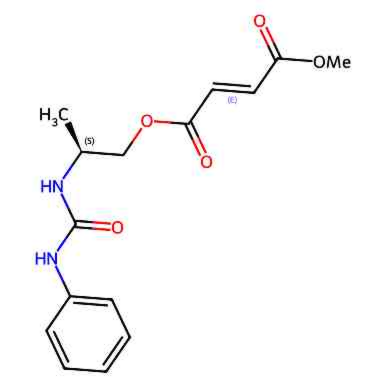 COC(=O)/C=C/C(=O)OC[C@H](C)NC(=O)Nc1ccccc1